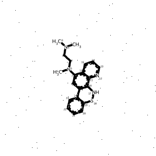 CN(C)CCN(C)c1cc2c(c3ncccc13)NSc1ccccc1-2